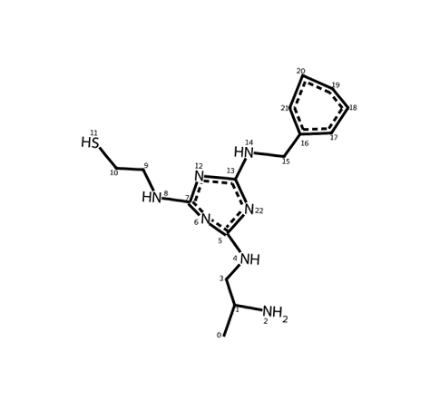 CC(N)CNc1nc(NCCS)nc(NCc2ccccc2)n1